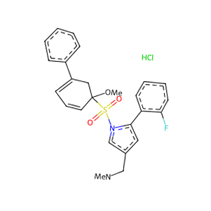 CNCc1cc(-c2ccccc2F)n(S(=O)(=O)C2(OC)C=CC=C(c3ccccc3)C2)c1.Cl